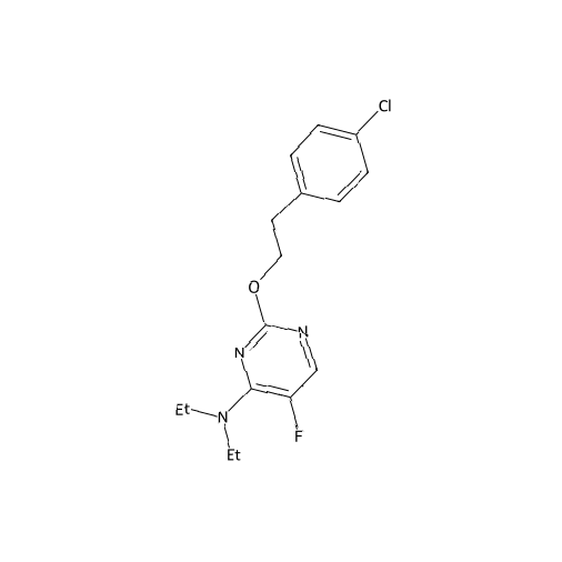 CCN(CC)c1nc(OCCc2ccc(Cl)cc2)ncc1F